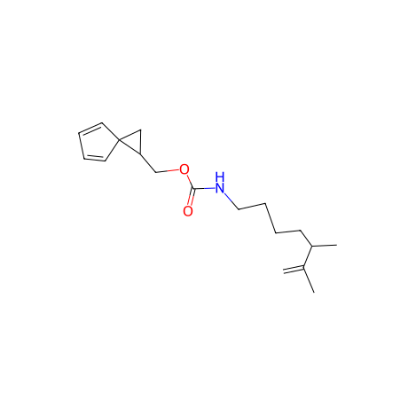 C=C(C)C(C)CCCCNC(=O)OCC1CC12C=CC=C2